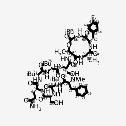 CC[C@@H](C)[C@@H](NC(=O)[C@@H](CCC(N)=O)NC(=O)[C@H](CO)NC(=O)[C@@H](NC(=O)[C@@H](Cc1ccccc1)NC)[C@@H](C)CC)C(=O)N[C@H](C(=O)N[C@@H](CO)C(=O)N[C@H]1C(=O)N[C@@H](C)C(=O)N[C@@H](Cc2ccc(F)cc2)C(=O)N[C@@H]([C@@H](C)CC)C(=O)O[C@H]1C)[C@@H](C)CC